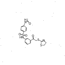 CC(=O)Nc1ccc(S(=O)(=O)Nc2cccc(C(=O)CSC3=NCCS3)c2)cc1